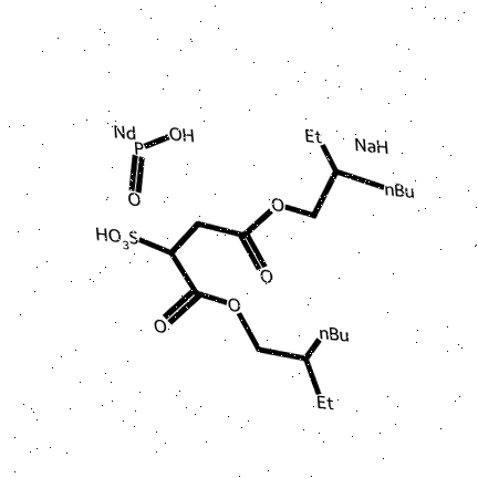 CCCCC(CC)COC(=O)CC(C(=O)OCC(CC)CCCC)S(=O)(=O)O.O=PO.[NaH].[Nd]